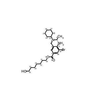 CCN(Cc1cc(C(=O)OCCCCCCCO)cc(Br)c1N)C1CCCCC1